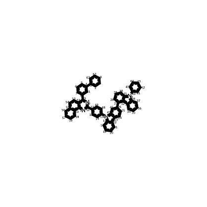 c1ccc(-c2cccc(-c3nc(-c4ccc(-n5c6ccccc6c6ccc(-c7cccc8c7c7ccccc7n8-c7ccccc7)cc65)cc4)nc4c3ccc3ccccc34)c2)cc1